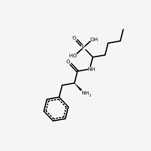 CCCCC(NC(=O)[C@@H](N)Cc1ccccc1)P(=O)(O)O